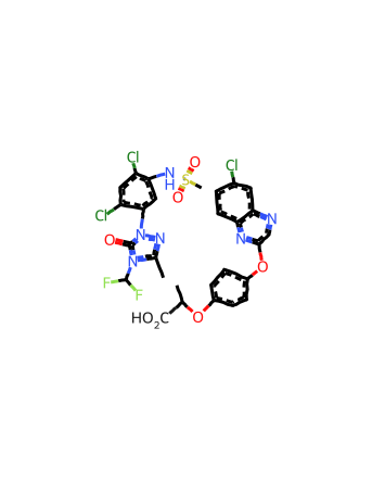 CC(Oc1ccc(Oc2cnc3cc(Cl)ccc3n2)cc1)C(=O)O.Cc1nn(-c2cc(NS(C)(=O)=O)c(Cl)cc2Cl)c(=O)n1C(F)F